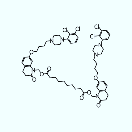 O=C(CCCCCCCCC(=O)OCN1C(=O)CCc2ccc(OCCCCN3CCN(c4cccc(Cl)c4Cl)CC3)cc21)OCN1C(=O)CCc2ccc(OCCCCN3CCN(c4cccc(Cl)c4Cl)CC3)cc21